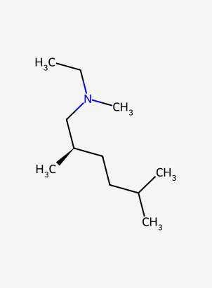 CCN(C)C[C@H](C)CCC(C)C